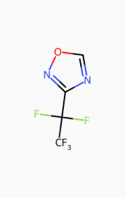 FC(F)(F)C(F)(F)c1ncon1